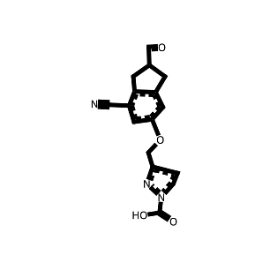 N#Cc1cc(OCc2ccn(C(=O)O)n2)cc2c1CC(C=O)C2